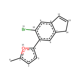 Cc1ccc(-c2cc3c(cc2Br)C=CC3)o1